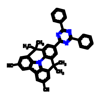 CC1(C)c2cc(-c3nc(-c4ccccc4)nc(-c4ccccc4)n3)cc3c2-n2c4c1cc(C#N)cc4c1cc(C#N)cc(c12)C3(C)C